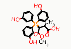 COC(=O)C(C(C)C(=O)O)=P(c1cccc(O)c1)(c1cccc(O)c1)c1cccc(O)c1